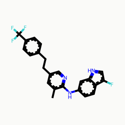 Cc1cc(CCc2ccc(C(F)(F)F)cc2)cnc1Nc1ccc2c(F)c[nH]c2c1